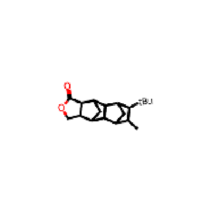 CC1C2CC(C3C4CC(C5COC(=O)C54)C23)C1C(C)(C)C